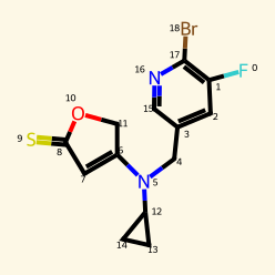 Fc1cc(CN(C2=CC(=S)OC2)C2CC2)cnc1Br